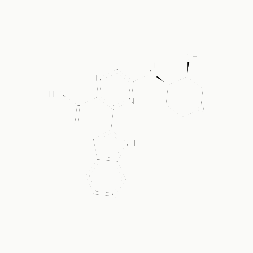 C[C@H]1COCC[C@H]1Nc1cnc(C(N)=O)c(-c2cc3ccncc3[nH]2)n1